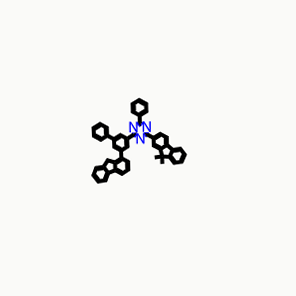 CC1(C)c2ccccc2-c2ccc(-c3nc(-c4ccccc4)nc(-c4cc(-c5ccccc5)cc(-c5cccc6c5Cc5ccccc5-6)c4)n3)cc21